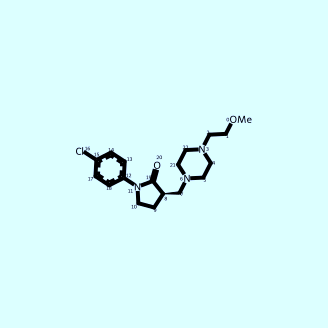 COCCN1CCN(C[C@H]2CCN(c3ccc(Cl)cc3)C2=O)CC1